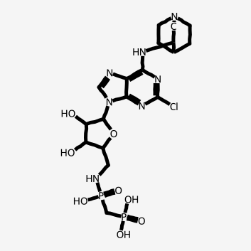 O=P(O)(O)CP(=O)(O)NCC1OC(n2cnc3c(NC4CN5CCC4CC5)nc(Cl)nc32)C(O)C1O